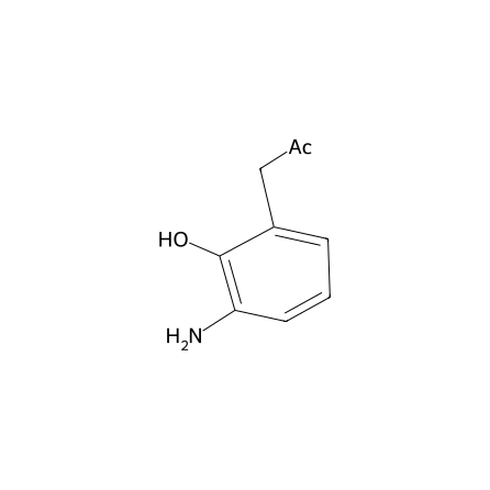 CC(=O)Cc1cccc(N)c1O